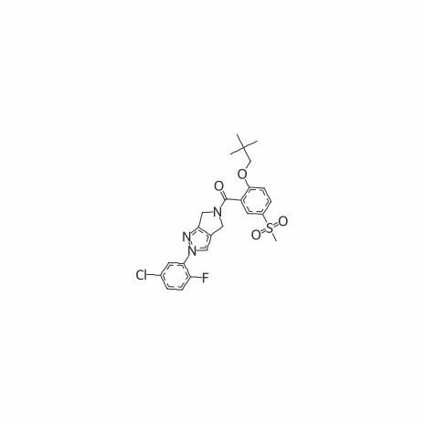 CC(C)(C)COc1ccc(S(C)(=O)=O)cc1C(=O)N1Cc2cn(-c3cc(Cl)ccc3F)nc2C1